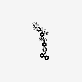 CCOC(=O)N1CCC(Nc2ccc(S(=O)(=O)NC(=O)c3ccc(N4CCN(Cc5ccccc5-c5ccccc5)CC4)cc3)cc2[N+](=O)[O-])CC1